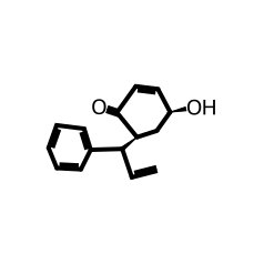 C=CC(c1ccccc1)[C@@H]1C[C@H](O)C=CC1=O